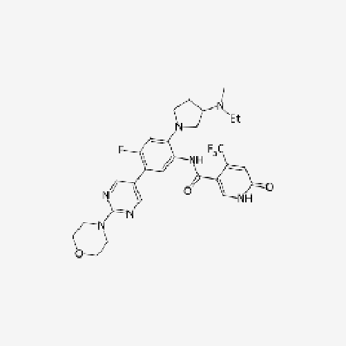 CCN(C)C1CCN(c2cc(F)c(-c3cnc(N4CCOCC4)nc3)cc2NC(=O)c2c[nH]c(=O)cc2C(F)(F)F)C1